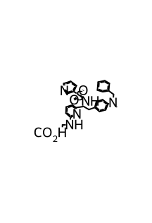 CN(Cc1ccccc1)c1ccc(CC(NS(=O)(=O)c2cccnc2)c2cccc(NCC(=O)O)n2)cc1